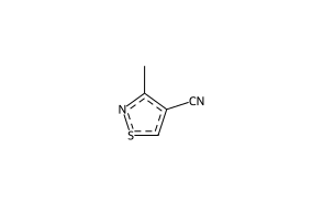 Cc1nscc1C#N